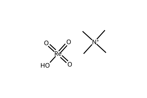 C[N+](C)(C)C.[O]=[Re](=[O])(=[O])[OH]